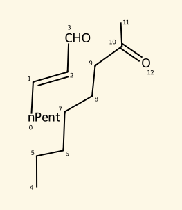 CCCCCC=CC=O.CCCCCCC(C)=O